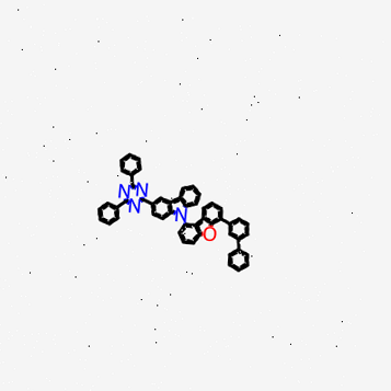 c1ccc(-c2cccc(-c3cccc4c3oc3cccc(-n5c6ccccc6c6cc(-c7nc(-c8ccccc8)nc(-c8ccccc8)n7)ccc65)c34)c2)cc1